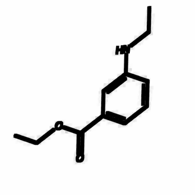 CCNc1cccc(C(=O)OCC)c1